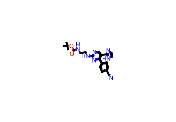 CC(C)(C)OC(=O)NCCNc1ncc(-c2ncc[nH]2)c(-c2ccc(C#N)cc2)n1